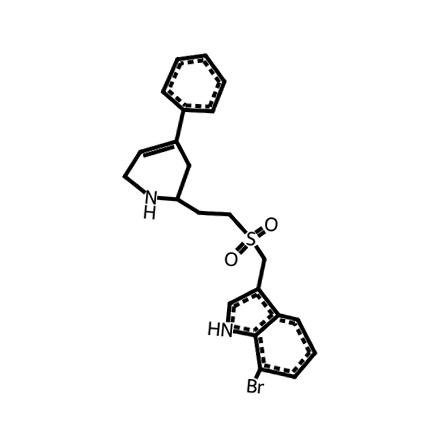 O=S(=O)(CCC1CC(c2ccccc2)=CCN1)Cc1c[nH]c2c(Br)cccc12